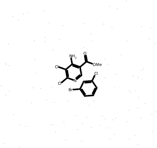 COC(=O)c1cnc(Cl)c(Cl)c1N.Clc1cccc(Br)c1